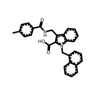 Cc1ccc(C(=O)NCc2c(C(=O)O)n(Cc3cccc4ccccc34)c3ccccc23)cc1